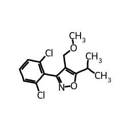 COCc1c(-c2c(Cl)cccc2Cl)noc1C(C)C